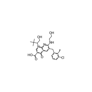 CC(C)(C)C(CO)n1cc(C(=O)O)c(=O)c2cc(Cc3cccc(Cl)c3F)c(NCCO)nc21